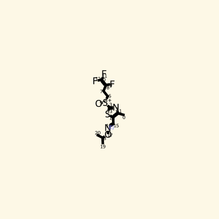 Cc1nc([S+]([O-])CCC(F)=C(F)F)sc1/C=N/OC(C)C